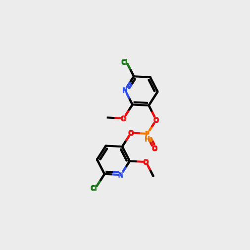 COc1nc(Cl)ccc1O[PH](=O)Oc1ccc(Cl)nc1OC